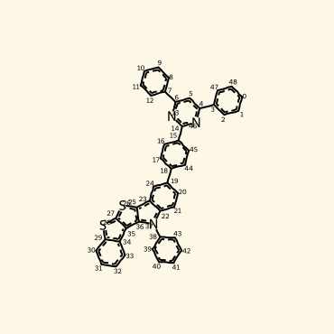 c1ccc(-c2cc(-c3ccccc3)nc(-c3ccc(-c4ccc5c(c4)c4sc6sc7ccccc7c6c4n5-c4ccccc4)cc3)n2)cc1